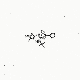 Cc1cc(N/C(=N\C(=O)C2CCCC2)NC(C)(C)C)n[nH]1